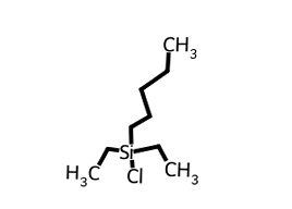 CCCCC[Si](Cl)(CC)CC